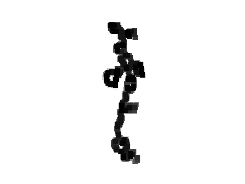 FC(F)(F)c1ccc(C=CCNCCCOc2c(Cl)cc(OCC=C(Cl)Cl)cc2Cl)cc1